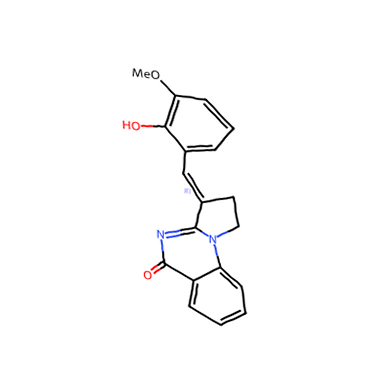 COc1cccc(/C=C2\CCn3c2nc(=O)c2ccccc23)c1O